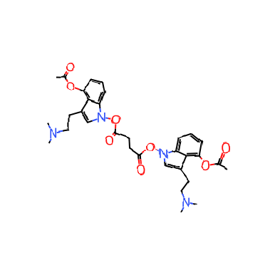 CC(=O)Oc1cccc2c1c(CCN(C)C)cn2OC(=O)CCC(=O)On1cc(CCN(C)C)c2c(OC(C)=O)cccc21